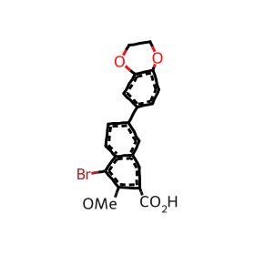 COc1c(C(=O)O)cc2cc(-c3ccc4c(c3)OCCO4)ccc2c1Br